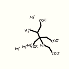 NC(CC(=O)[O-])C(CC(=O)[O-])(CC(=O)[O-])NCC(=O)[O-].[Ag+].[Ag+].[Ag+].[Ag+]